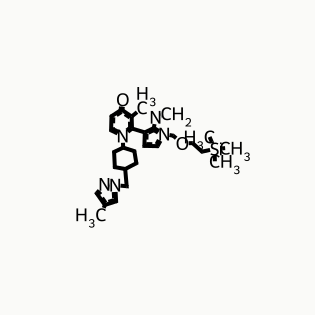 C=Nc1c(-c2c(C)c(=O)ccn2C2CCC(Cn3cc(C)cn3)CC2)ccn1COCC[Si](C)(C)C